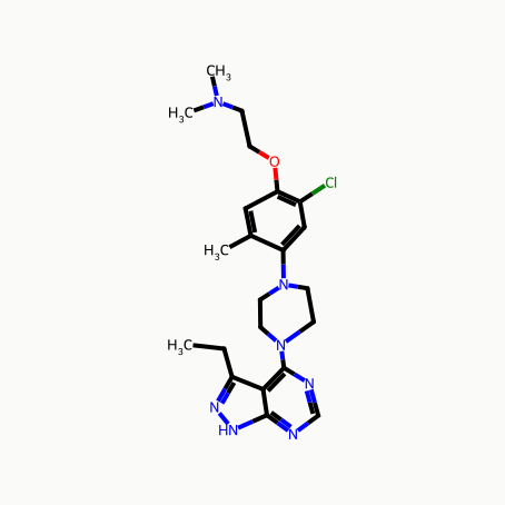 CCc1n[nH]c2ncnc(N3CCN(c4cc(Cl)c(OCCN(C)C)cc4C)CC3)c12